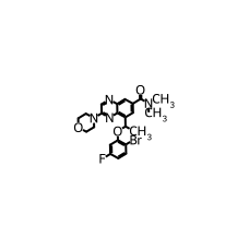 CC(Oc1cc(F)ccc1Br)c1cc(C(=O)N(C)C)cc2ncc(N3CCOCC3)nc12